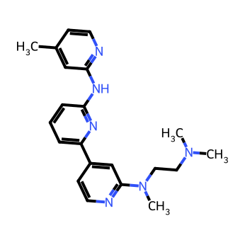 Cc1ccnc(Nc2cccc(-c3ccnc(N(C)CCN(C)C)c3)n2)c1